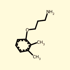 Cc1cccc(OCCCN)c1C